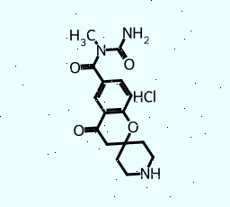 CN(C(N)=O)C(=O)c1ccc2c(c1)C(=O)CC1(CCNCC1)O2.Cl